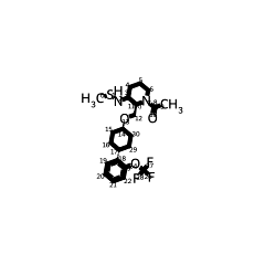 CSNC1CCCN(C(C)=O)[C@H]1CO[C@H]1CC[C@@H](c2ccccc2OC(F)(F)F)CC1